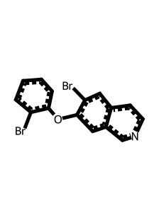 Brc1ccccc1Oc1cc2cnccc2cc1Br